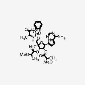 COC(=O)[C@H](C)N[P@](=O)(OC[C@@]1(C)O[C@@H](c2ccc3c(N)ncnn23)[C@H](OC(=O)[C@@H](C)OC)[C@@H]1OC(=O)[C@@H](C)OC)Oc1ccccc1